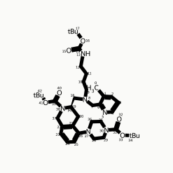 Cc1cccnc1CN(CCCCNC(=O)OC(C)(C)C)C[C@H]1Cc2c(cccc2N2CCN(C(=O)OC(C)(C)C)CC2)CN1C(=O)OC(C)(C)C